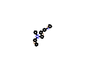 c1ccc(-c2nc(-c3ccc4sc5ccccc5c4c3)nc(-c3cccc4sc5c(-c6ccc(-c7nc8ccccc8s7)cc6)cccc5c34)n2)cc1